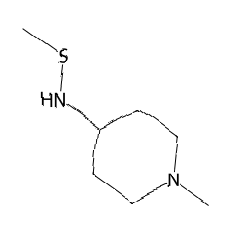 CSNC1CCN(C)CC1